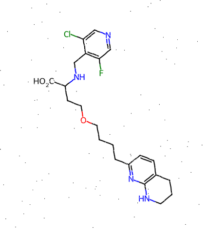 O=C(O)C(CCOCCCCc1ccc2c(n1)NCCC2)NCc1c(F)cncc1Cl